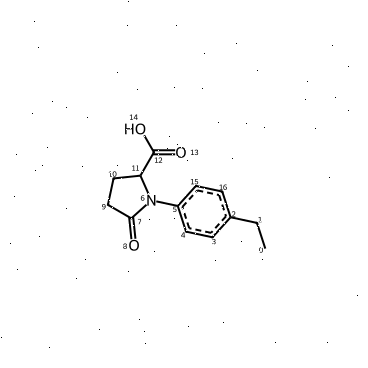 CCc1ccc(N2C(=O)CCC2C(=O)O)cc1